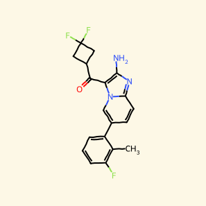 Cc1c(F)cccc1-c1ccc2nc(N)c(C(=O)C3CC(F)(F)C3)n2c1